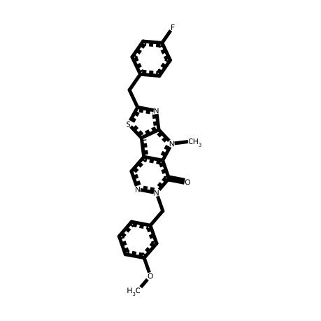 COc1cccc(Cn2ncc3c4sc(Cc5ccc(F)cc5)nc4n(C)c3c2=O)c1